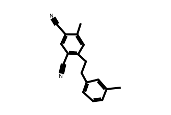 Cc1cccc(CCc2cc(C)c(C#N)cc2C#N)c1